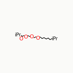 CC(C)CCCCCCOCCOCCOCC(=O)C(C)C